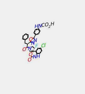 O=C(O)Nc1ccc(-c2nnc(C(Cc3ccccc3)C(=O)N3CC[C@@]4(C3)OC(=O)Nc3ccc(Cl)c(F)c34)o2)cc1